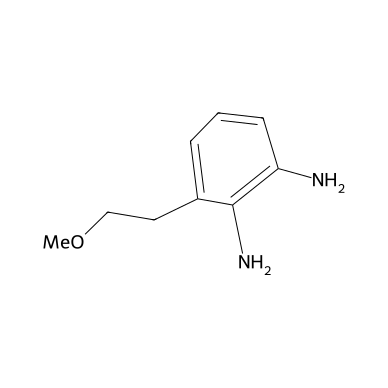 COCCc1cccc(N)c1N